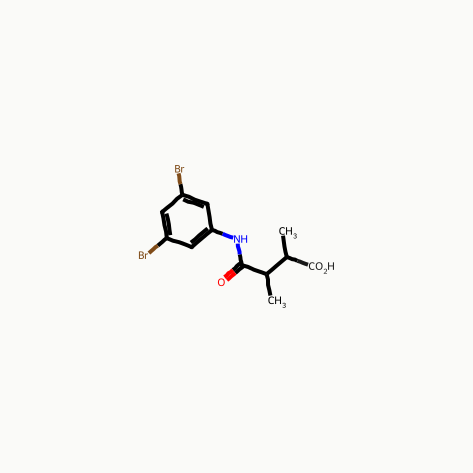 CC(C(=O)O)C(C)C(=O)Nc1cc(Br)cc(Br)c1